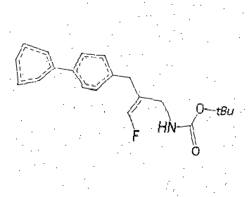 CC(C)(C)OC(=O)NCC(=CF)Cc1ccc(-c2ccccc2)cc1